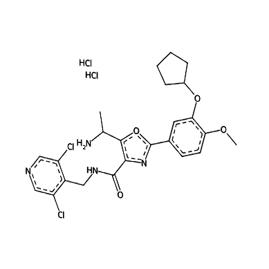 COc1ccc(-c2nc(C(=O)NCc3c(Cl)cncc3Cl)c(C(C)N)o2)cc1OC1CCCC1.Cl.Cl